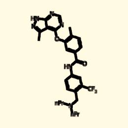 CCCN(CCC)Cc1ccc(NC(=O)c2ccc(C)c(Oc3ncnc4[nH]nc(C)c34)c2)cc1C(F)(F)F